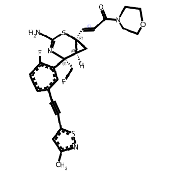 Cc1cc(C#Cc2ccc(F)c([C@@]3(CF)N=C(N)S[C@@]4(/C=C/C(=O)N5CCOCC5)C[C@H]43)c2)sn1